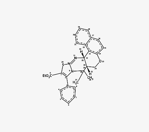 CCOC(=O)C1=C(c2ccccc2)N2C(=N[C@@H]3c4c(ccc5ccccc45)OC[C@@H]3C2(C)C)S1